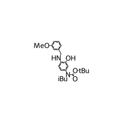 CCC(C)N(C(=O)OC(C)(C)C)c1ccc(NCc2cccc(OC)c2)c(O)c1